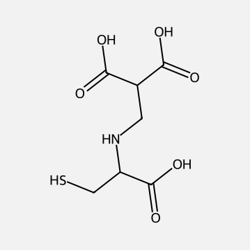 O=C(O)C(CS)NCC(C(=O)O)C(=O)O